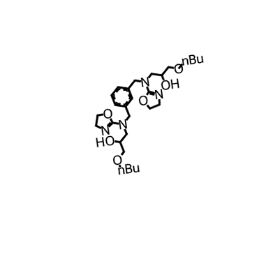 CCCCOCC(O)CN(Cc1cccc(CN(CC(O)COCCCC)C2=NCCO2)c1)C1=NCCO1